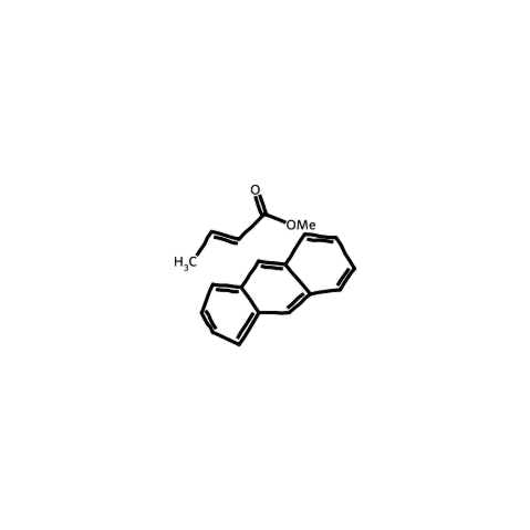 C/C=C/C(=O)OC.c1ccc2cc3ccccc3cc2c1